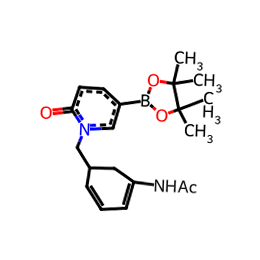 CC(=O)NC1=CC=CC(Cn2cc(B3OC(C)(C)C(C)(C)O3)ccc2=O)C1